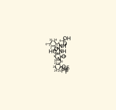 Cc1ccc([C@H](CC(=O)O)NC(=O)Nc2c(O)ccn(Cc3ccccc3OC(F)(F)F)c2=O)cc1